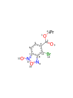 CC(C)OC(=O)c1ccc2c(no[n+]2[O-])c1Br